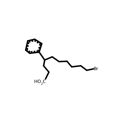 O=C(O)CCC(CCCCCCBr)c1ccccc1